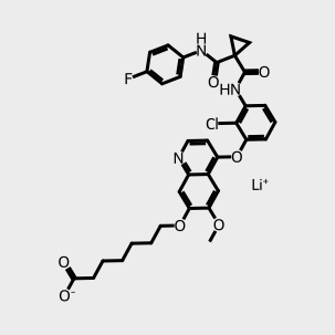 COc1cc2c(Oc3cccc(NC(=O)C4(C(=O)Nc5ccc(F)cc5)CC4)c3Cl)ccnc2cc1OCCCCCCC(=O)[O-].[Li+]